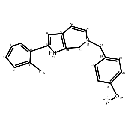 Fc1ccccc1-c1cc2c([nH]1)CN(Cc1ccc(OC(F)(F)F)cc1)C=C2